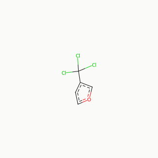 ClC(Cl)(Cl)c1ccoc1